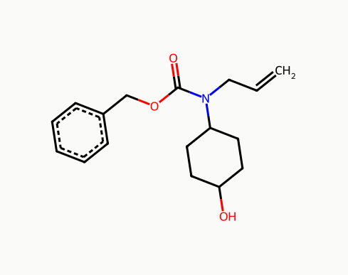 C=CCN(C(=O)OCc1ccccc1)C1CCC(O)CC1